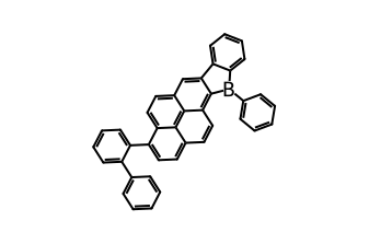 c1ccc(B2c3ccccc3-c3cc4ccc5c(-c6ccccc6-c6ccccc6)ccc6ccc(c32)c4c65)cc1